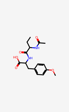 CCC(NC(C)=O)C(=O)NC(Cc1ccc(OC)cc1)C(=O)O